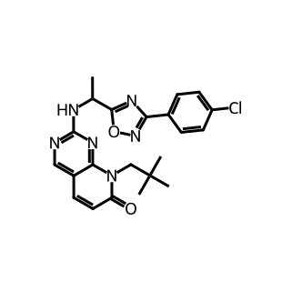 CC(Nc1ncc2ccc(=O)n(CC(C)(C)C)c2n1)c1nc(-c2ccc(Cl)cc2)no1